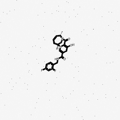 C[C@H]1C=CC[C@H]2CN1C(=O)C1=C(O)CC(C(=O)NCc3ccc(F)cc3F)=CN12